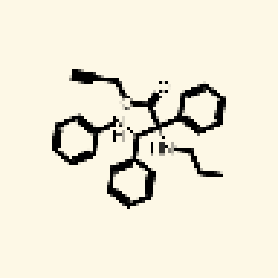 C#CCOC(=O)[C@@](NCCC)(c1ccccc1)[C@@H](Nc1ccccc1)c1ccccc1